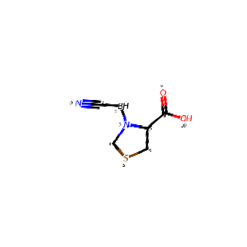 N#CBN1CSCC1C(=O)O